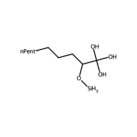 CCCCCCCCC(O[SiH3])C(O)(O)O